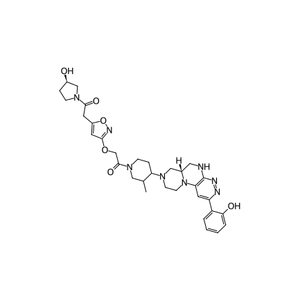 CC1CN(C(=O)COc2cc(CC(=O)N3CC[C@@H](O)C3)on2)CCC1N1CCN2c3cc(-c4ccccc4O)nnc3NC[C@H]2C1